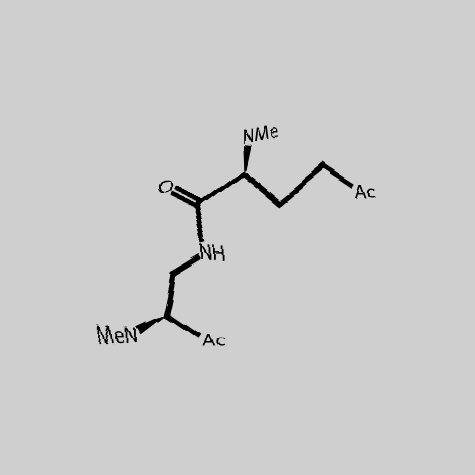 CN[C@@H](CNC(=O)[C@H](CCC(C)=O)NC)C(C)=O